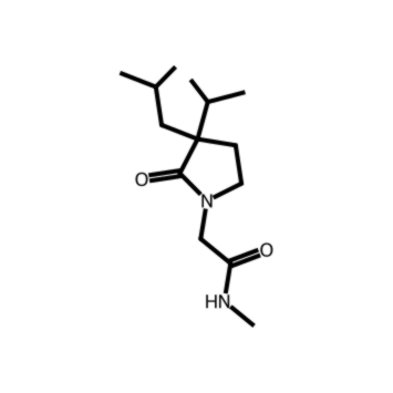 CNC(=O)CN1CCC(CC(C)C)(C(C)C)C1=O